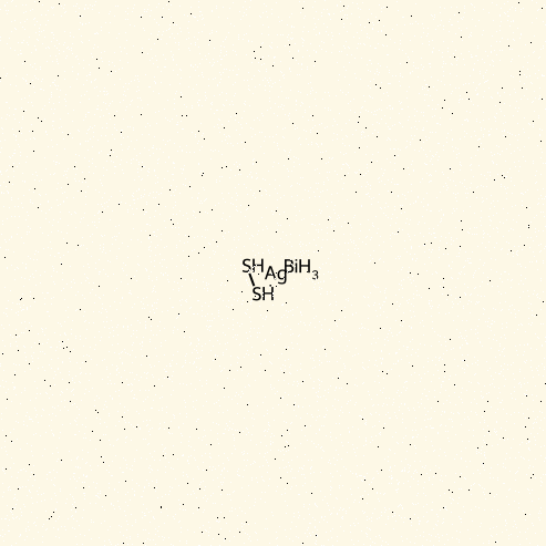 SS.[Ag].[BiH3]